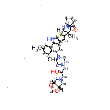 Cc1cc(C)cc(-c2[nH]c3sc(C(C)(C)CC4C5CCC4C(=O)N5)cc3c2CCN2CCN(CC(O)CN3C[C@@H]4OCO[C@@H]4C3)CC2)c1